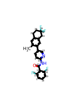 Cc1cc2c(cc1-c1ccc(NC(=O)c3c(F)cccc3F)nc1)CC(F)(F)CC2